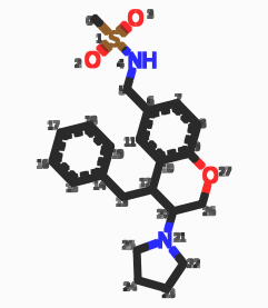 CS(=O)(=O)NCc1ccc2c(c1)C(Cc1ccccc1)C(N1CCCC1)CO2